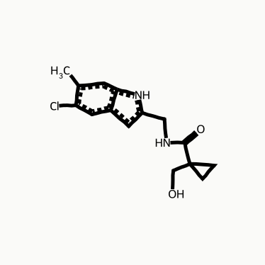 Cc1cc2[nH]c(CNC(=O)C3(CO)CC3)cc2cc1Cl